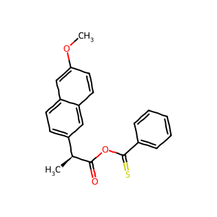 COc1ccc2cc([C@H](C)C(=O)OC(=S)c3ccccc3)ccc2c1